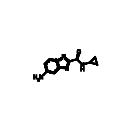 Nc1ccn2nc(C(=O)NC3CC3)nc2c1